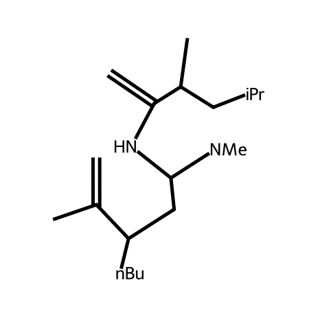 C=C(NC(CC(CCCC)C(=C)C)NC)C(C)CC(C)C